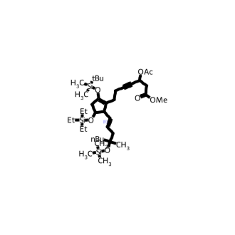 CCCCC(C)(C/C=C/C1C(CCC#CC(CC(=O)OC)OC(C)=O)=C(O[Si](C)(C)C(C)(C)C)CC1O[Si](CC)(CC)CC)O[Si](C)(C)C